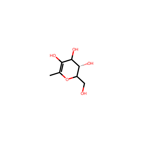 CC1=C(O)C(O)[C@H](O)C(CO)O1